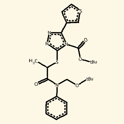 CC(Sc1nnc(-c2ccsc2)n1C(=O)OC(C)(C)C)C(=O)N(COC(C)(C)C)c1ccccc1